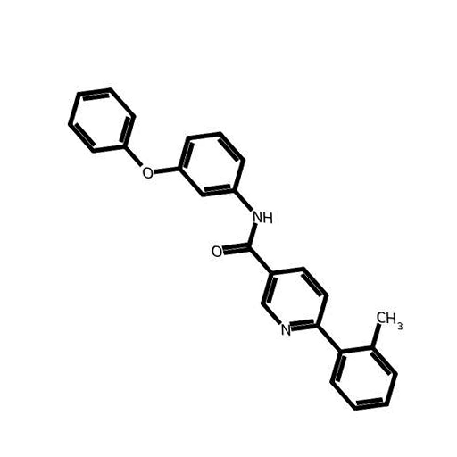 Cc1ccccc1-c1ccc(C(=O)Nc2cccc(Oc3ccccc3)c2)cn1